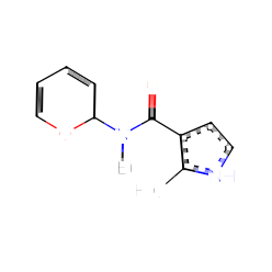 CCN(C(=O)c1cc[nH]c1C(F)(F)F)C1C=CC=CO1